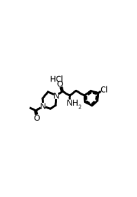 CC(=O)N1CCN(C(=O)C(N)Cc2cccc(Cl)c2)CC1.Cl